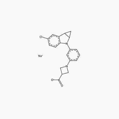 O=C([O-])C1CN(c2cccc(N3c4ccc(Cl)cc4C4CC43)c2)C1.[Na+]